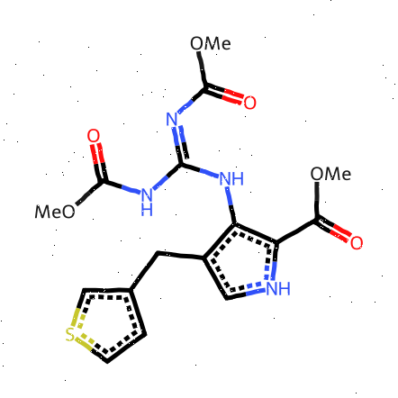 COC(=O)N=C(NC(=O)OC)Nc1c(Cc2ccsc2)c[nH]c1C(=O)OC